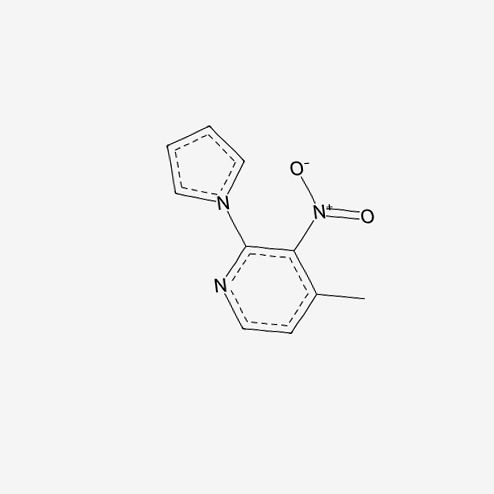 Cc1ccnc(-n2cccc2)c1[N+](=O)[O-]